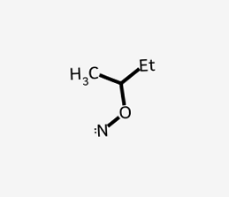 CCC(C)O[N]